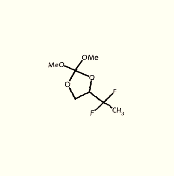 COC1(OC)OCC(C(C)(F)F)O1